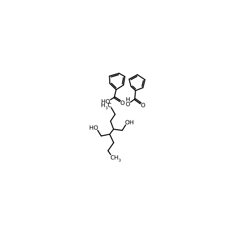 CCCC(CO)C(CO)CCC.O=C(O)c1ccccc1.O=C(O)c1ccccc1